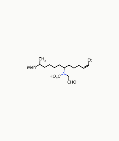 CC/C=C\CCCC(CCCCC(C)NC)N(CC=O)C(=O)O